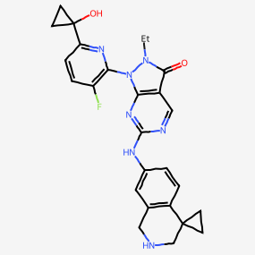 CCn1c(=O)c2cnc(Nc3ccc4c(c3)CNCC43CC3)nc2n1-c1nc(C2(O)CC2)ccc1F